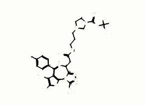 Cc1sc2c(c1C)C(c1ccc(Cl)cc1)=NC(CC(=O)NCCCN1CCN(C(=O)OC(C)(C)C)C1)c1nnc(C)n1-2